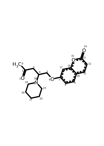 CC(=O)CC(COc1ccc2ccc(=O)oc2c1)N1CCCCC1